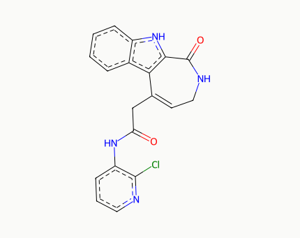 O=C(CC1=CCNC(=O)c2[nH]c3ccccc3c21)Nc1cccnc1Cl